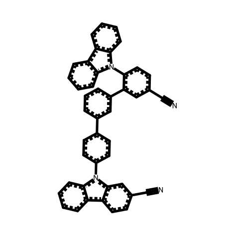 N#Cc1ccc(-n2c3ccccc3c3ccccc32)c(-c2cccc(-c3ccc(-n4c5ccccc5c5ccc(C#N)cc54)cc3)c2)c1